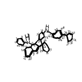 c1ccc(Nc2c3c(cc4ccccc24)C2(CCCC2)c2cc(Nc4ccc(-c5ccccc5)cc4)ccc2-3)cc1